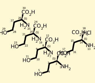 Cl.N[C@@H](CCO)C(=O)O.N[C@@H](CCO)C(=O)O.N[C@@H](CCO)C(=O)O.N[C@@H](CCO)C(=O)O.N[C@@H](CCO)C(=O)O